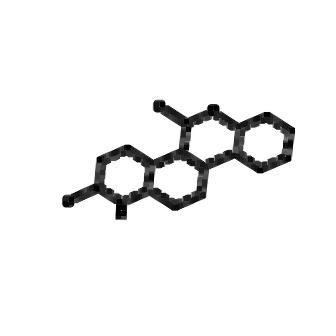 O=c1ccc2c(ccc3c4ccccc4oc(=O)c23)[nH]1